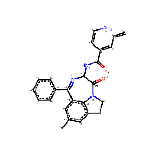 C=C/C=C(\C=C/N)C(=O)NC1N=C(c2ccccc2)c2cc(C)cc3c2N(CC3)C1=O